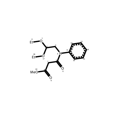 CCOC(CN(C(=O)CC(=O)OC)c1ccccc1)OCC